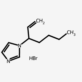 Br.C=CC(CCCC)n1ccnc1